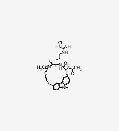 C=C1CC=CCc2ccc3[nH]c4ccc(cc4c3c2)CC(NC(C)=O)C(=O)N[C@@H](CCCNC(=N)NCl)C(=O)N1